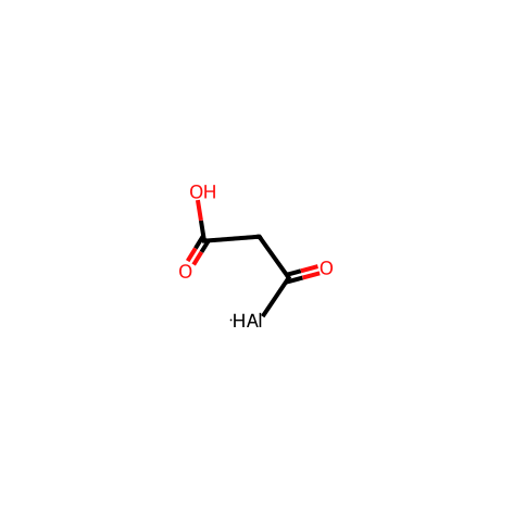 O=C(O)C[C](=O)[AlH]